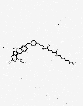 CCCCCNc1nc(N)nc2ccn(Cc3ccc(CN4CCN(CCCNC(=O)CCCC(=O)NCCCCCC(=O)O)CC4)cc3OC)c12